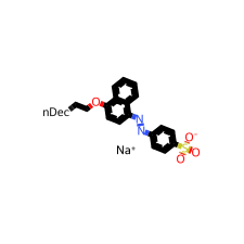 CCCCCCCCCCCCOc1ccc(N=Nc2ccc(S(=O)(=O)[O-])cc2)c2ccccc12.[Na+]